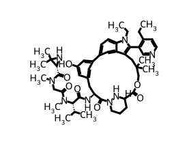 CCc1ccncc1-c1c2c3cc(ccc3n1CC)-c1cc(O)cc(c1)C[C@H](NC(=O)[C@H](C(C)C)N(C)C(=O)CN(C)C(=O)[C@H]1NC1(C)C)C(=O)N1CCC[C@H](N1)C(=O)OCC(C)(C)C2